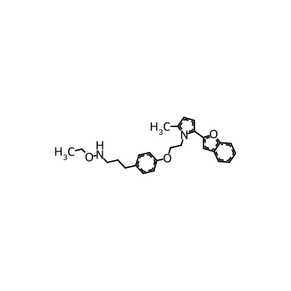 CCONCCCc1ccc(OCCn2c(C)ccc2-c2cc3ccccc3o2)cc1